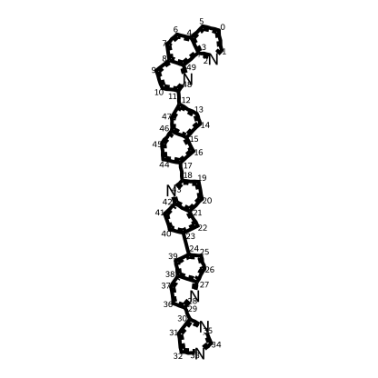 c1cnc2c(c1)ccc1ccc(-c3ccc4cc(-c5ccc6cc(-c7ccc8nc(-c9ccncn9)ccc8c7)ccc6n5)ccc4c3)nc12